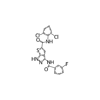 O=C(Nc1n[nH]c2sc(C(=O)Nc3c(Cl)cccc3Cl)cc12)c1cccc(F)c1